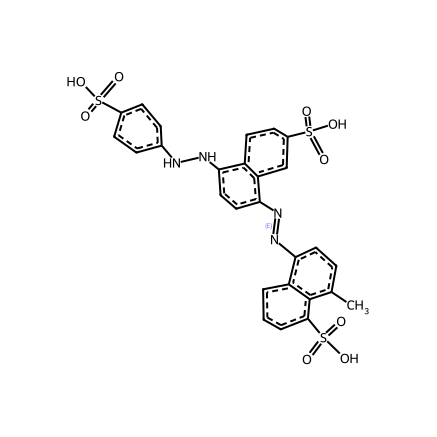 Cc1ccc(/N=N/c2ccc(NNc3ccc(S(=O)(=O)O)cc3)c3ccc(S(=O)(=O)O)cc23)c2cccc(S(=O)(=O)O)c12